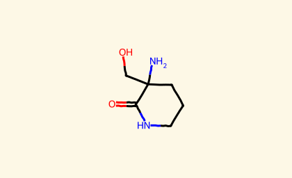 NC1(CO)CCCNC1=O